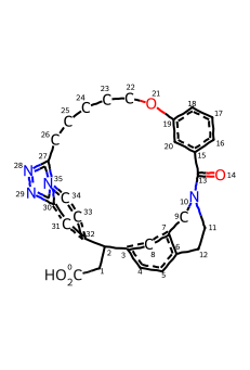 O=C(O)CC1c2ccc3c(c2)CN(CC3)C(=O)c2cccc(c2)OCCCCCc2nnc3cc1ccn23